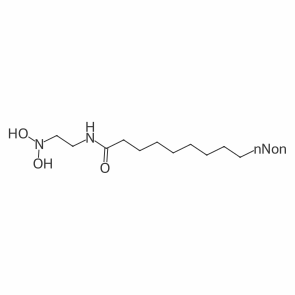 CCCCCCCCCCCCCCCCCC(=O)NCCN(O)O